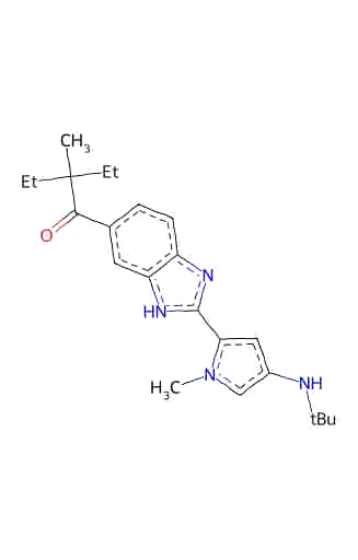 CCC(C)(CC)C(=O)c1ccc2nc(-c3cc(NC(C)(C)C)cn3C)[nH]c2c1